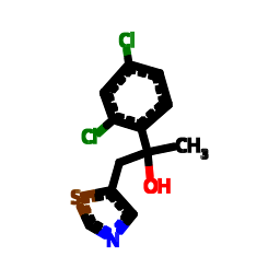 CC(O)(Cc1cncs1)c1ccc(Cl)cc1Cl